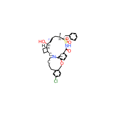 C[C@@H]1C/C=C/[C@H](O)[C@@H]2CCC2CN2CCCCc3cc(Cl)ccc3COc3ccc(cc32)C(=O)NS(=O)(=O)[C@H]1Cc1ccccc1